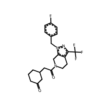 O=C1CCCC(CC(=O)N2CCc3c(C(F)(F)F)nn(Cc4ccc(F)cc4)c3C2)C1